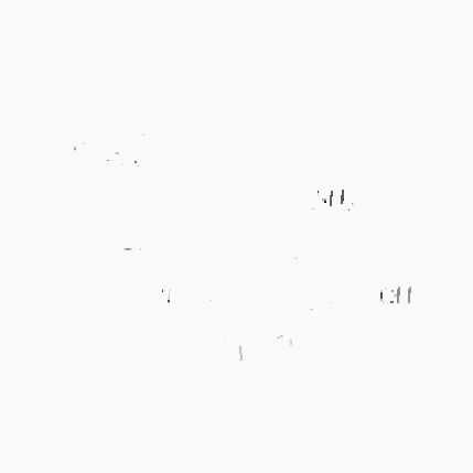 CC(=O)c1cc([C@H](N)C(=O)O)c(Cl)nc1C